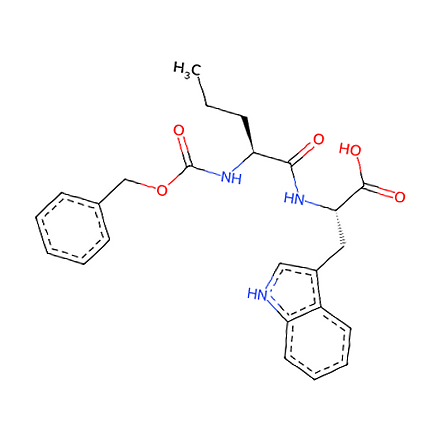 CCC[C@H](NC(=O)OCc1ccccc1)C(=O)N[C@@H](Cc1c[nH]c2ccccc12)C(=O)O